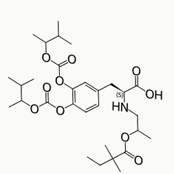 CCC(C)(C)C(=O)OC(C)CN[C@@H](Cc1ccc(OC(=O)OC(C)C(C)C)c(OC(=O)OC(C)C(C)C)c1)C(=O)O